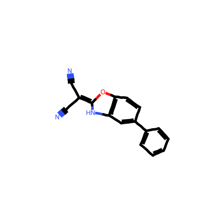 N#CC(C#N)=C1Nc2cc(-c3ccccc3)ccc2O1